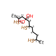 CCC(S)CCCC(S)CC(O)(O)CC(S)CC